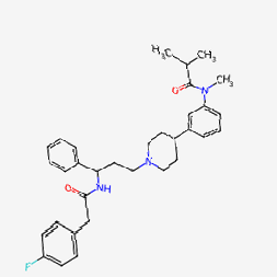 CC(C)C(=O)N(C)c1cccc(C2CCN(CCC(NC(=O)Cc3ccc(F)cc3)c3ccccc3)CC2)c1